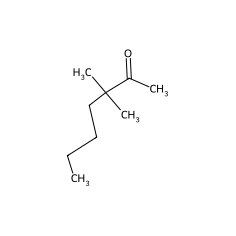 CCCCC(C)(C)C(C)=O